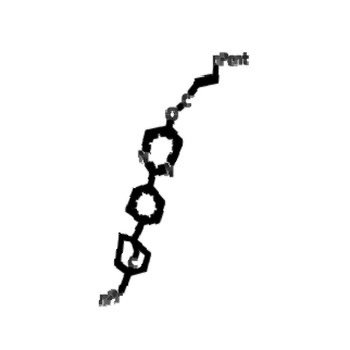 CCCCCC=CCOc1cnc(-c2ccc(C34CCC(CCC)(CC3)CC4)cc2)nc1